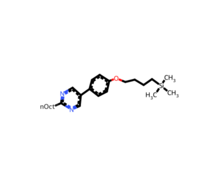 CCCCCCCCc1ncc(-c2ccc(OCCCC[Si](C)(C)C)cc2)cn1